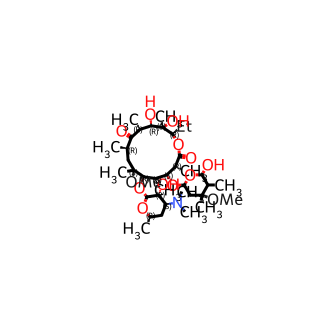 CC[C@H]1OC(=O)[C@H](C)[C@@H](OC2CC(C)(OC)C(C)C(O)O2)[C@H](C)[C@@H](OC2O[C@H](C)C[C@H](N(C)C)[C@H]2O)[C@@](C)(OC)C[C@@H](C)C(=O)[C@H](C)[C@@H](O)[C@]1(C)O